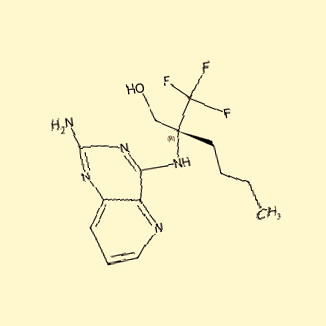 CCCC[C@](CO)(Nc1nc(N)nc2cccnc12)C(F)(F)F